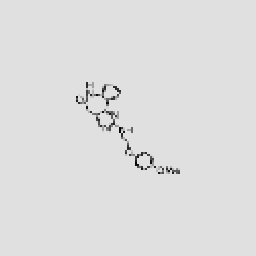 COc1ccc(OCCNc2ncc3c(n2)-c2ccccc2NC(=O)C3)cc1